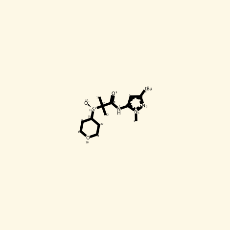 Cn1nc(C(C)(C)C)cc1NC(=O)C(C)(C)[S@@+]([O-])C1CCOCC1